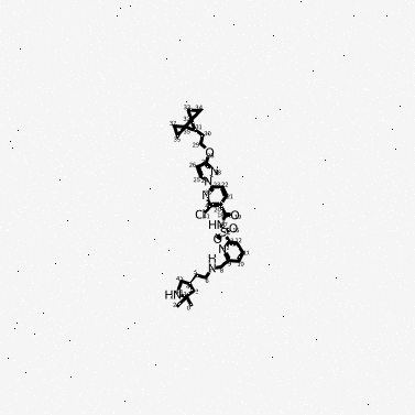 CC1(C)C[C@H](CCNCc2cccc(S(=O)(=O)NC(=O)c3ccc(-n4ccc(OCCC5C6(CC6)C56CC6)n4)nc3Cl)n2)CN1